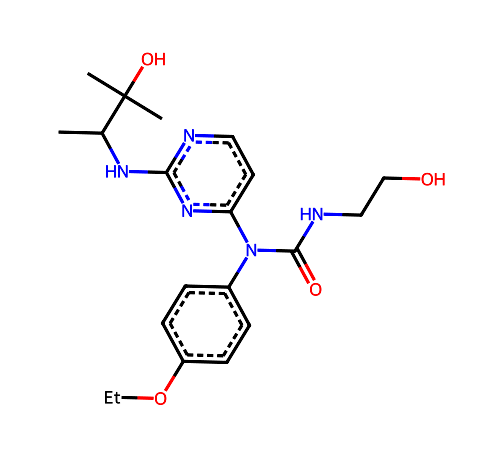 CCOc1ccc(N(C(=O)NCCO)c2ccnc(NC(C)C(C)(C)O)n2)cc1